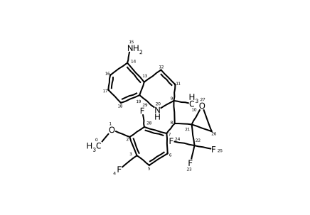 COc1c(F)ccc(C(C2(C)C=Cc3c(N)cccc3N2)C2(C(F)(F)F)CO2)c1F